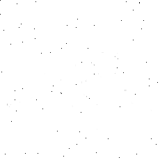 COc1cccc(CN2C(=O)C3(NC(=O)NC3=O)c3cc(Cl)cc(C)c32)c1